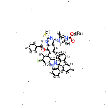 CCSc1nc(N2C[C@@H]3C[C@H]2CN3C(=O)OC(C)(C)C)c2cc(C3CC3)c(-c3c(C)c(F)cc4nn(C(c5ccccc5)(c5ccccc5)c5ccccc5)cc34)c(O[C@@H](C)c3ccccc3)c2n1